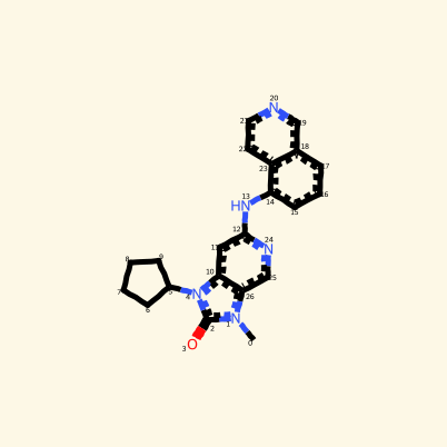 Cn1c(=O)n(C2CCCC2)c2cc(Nc3cccc4cnccc34)ncc21